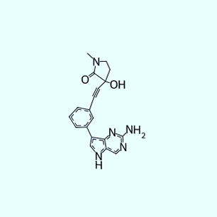 CN1CCC(O)(C#Cc2cccc(-c3c[nH]c4cnc(N)nc34)c2)C1=O